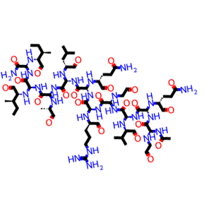 CC[C@@H](C)[C@H](C=O)N[C@H](NC(=O)[C@@H](NC(=O)[C@@H](NC(=O)[C@@H](NC(=O)[C@@H](NC(=O)[C@@H](NC(=O)[C@H](NCC=O)NC(=O)[C@@H](NC(=O)[C@@H](NC(=O)[C@H](NCC=O)NC(C)=O)N[C@@H](C=O)CCC(N)=O)N[C@@H](C=O)C(C)C)N[C@@H](C=O)CCCNC(=N)N)N[C@@H](C=O)CCC(N)=O)N[C@@H](C=O)CC(C)C)N[C@@H](C)C=O)N[C@@H](C=O)[C@H](C)CC)C(N)=O